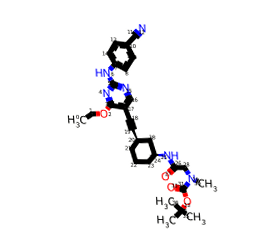 CCOc1nc(Nc2ccc(C#N)cc2)ncc1C#C[C@@H]1CCC[C@H](NC(=O)CN(C)C(=O)OC(C)(C)C)C1